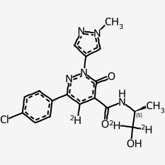 [2H]c1c(-c2ccc(Cl)cc2)nn(-c2cnn(C)c2)c(=O)c1C(=O)N[C@@H](C)C([2H])([2H])O